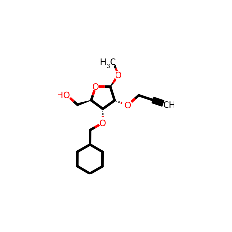 C#CCO[C@H]1[C@H](OC)O[C@H](CO)[C@H]1OCC1CCCCC1